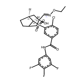 CCO/N=C/[C@]1(O)CC2CC[C@@H](C1)[C@H]2S(=O)(=O)c1cc(C(=O)Nc2cc(F)c(F)c(F)c2)ccc1Cl